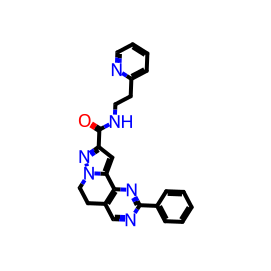 O=C(NCCc1ccccn1)c1cc2n(n1)CCc1cnc(-c3ccccc3)nc1-2